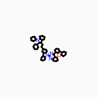 C(=C\c1c(-c2ccccc2)n(-c2ccccc2)c2ccccc12)/c1ccc2c(c1)c1ccccc1n2-c1nc(-c2cccc3c2oc2ccccc23)c2ccccc2n1